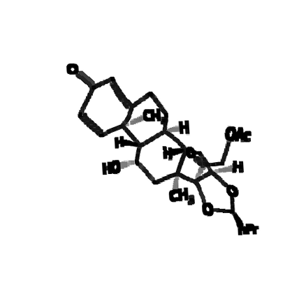 CCC[C@@H]1O[C@@H]2C[C@H]3[C@@H]4CCC5=CC(=O)C=C[C@]5(C)[C@H]4[C@@H](O)C[C@]3(C)[C@]2(C(=O)COC(C)=O)O1